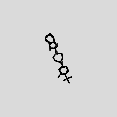 Cc1cc(N2CCN(c3nc4ccccc4s3)CC2)ccc1C(C)(C)C